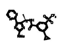 CNc1nc([C@H](C)NC(=O)c2cc(C3CC3)cc(S(=O)(=O)C(F)(F)F)c2)n(-c2ncccn2)n1